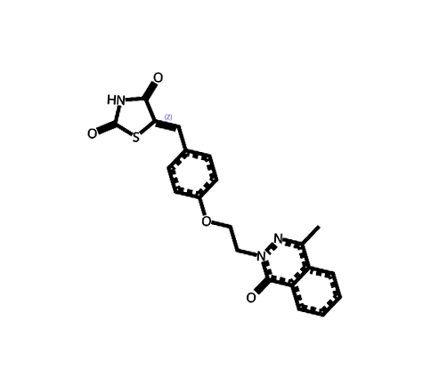 Cc1nn(CCOc2ccc(/C=C3\SC(=O)NC3=O)cc2)c(=O)c2ccccc12